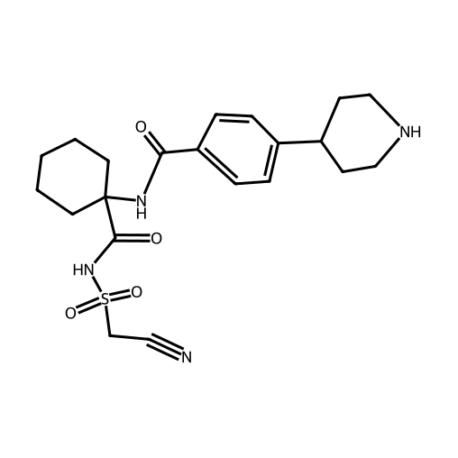 N#CCS(=O)(=O)NC(=O)C1(NC(=O)c2ccc(C3CCNCC3)cc2)CCCCC1